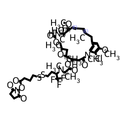 COc1cc2cc(c1Cl)N(C)C(=O)C[C@H](OC(=O)[C@H](C)N(C)C(CCSSCCCC(=O)ON1C(=O)CCC1=O)C(F)(F)F)[C@@]1(C)CC(C)(O1)C1C[C@@](O)(NC(=O)O1)[C@H](OC)/C=C/C=C(\C)C2